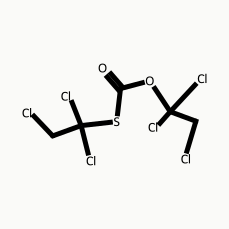 O=C(OC(Cl)(Cl)CCl)SC(Cl)(Cl)CCl